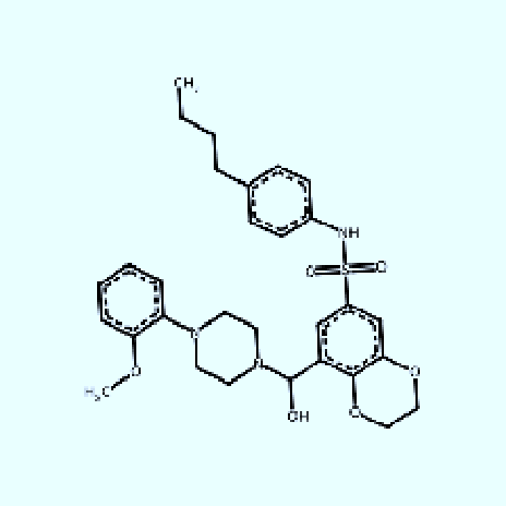 CCCCc1ccc(NS(=O)(=O)c2cc3c(c(C(O)N4CCN(c5ccccc5OC)CC4)c2)OCCO3)cc1